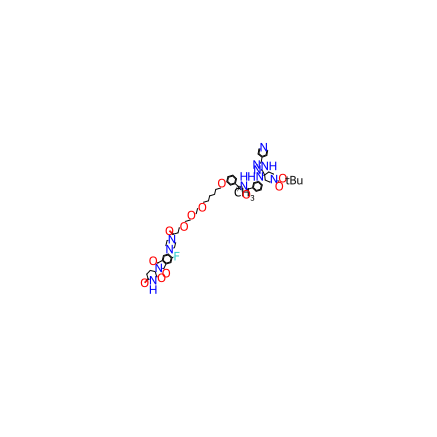 C[C@@H](NC(=O)c1cccc(NC2(c3nnc(-c4ccncc4)[nH]3)CCN(C(=O)OC(C)(C)C)CC2)c1)c1cccc(OCCCCCCOCCOCCOCCC(=O)N2CCN(c3cc4c(cc3F)C(=O)N(C3CCC(=O)NC3=O)C4=O)CC2)c1